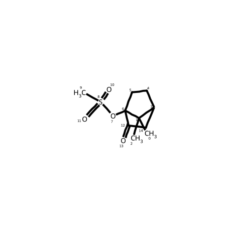 CC1(C)C2CCC1(OS(C)(=O)=O)C(=O)C2